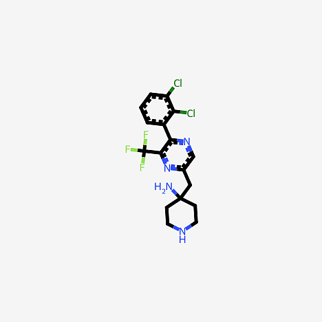 NC1(Cc2cnc(-c3cccc(Cl)c3Cl)c(C(F)(F)F)n2)CCNCC1